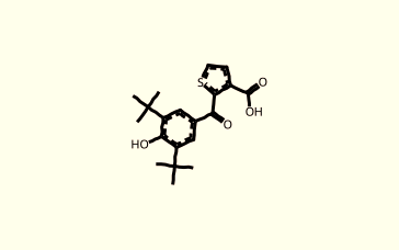 CC(C)(C)c1cc(C(=O)c2sccc2C(=O)O)cc(C(C)(C)C)c1O